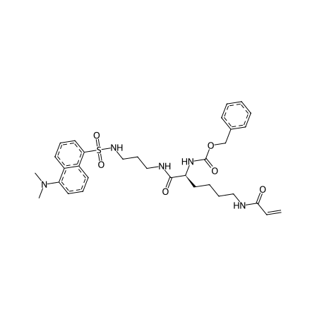 C=CC(=O)NCCCC[C@H](NC(=O)OCc1ccccc1)C(=O)NCCCNS(=O)(=O)c1cccc2c(N(C)C)cccc12